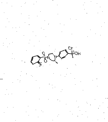 C[C@H]1CN(S(=O)(=O)C2=CC=CCC2=S)CCN1c1ccc(C(C)(O)C(F)(F)F)cc1